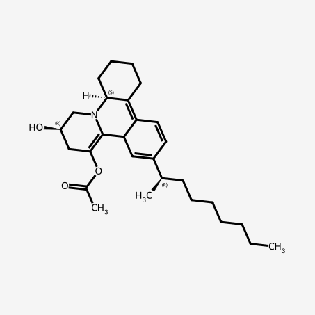 CCCCCCC[C@@H](C)C1=CC2C(=C3CCCC[C@@H]3N3C[C@H](O)CC(OC(C)=O)=C23)C=C1